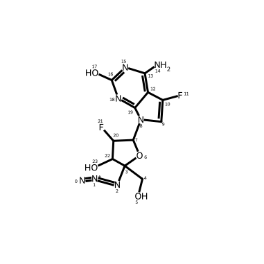 [N-]=[N+]=NC1(CO)OC(n2cc(F)c3c(N)nc(O)nc32)C(F)C1O